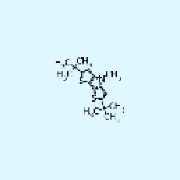 Cn1c2cc(C(C)(C)C)sc2c2sc(C(C)(C)C)cc21